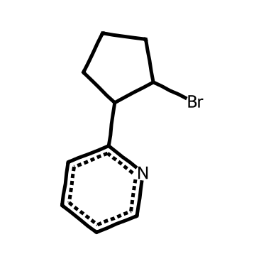 BrC1CCCC1c1ccccn1